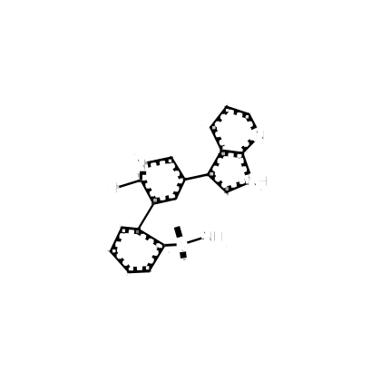 NS(=O)(=O)c1ccccc1-c1cc(-c2c[nH]c3ncccc23)cnc1Cl